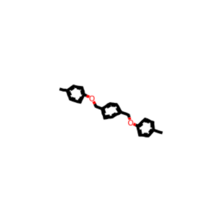 Cc1ccc(OCc2ccc(COc3ccc(C)cc3)cc2)cc1